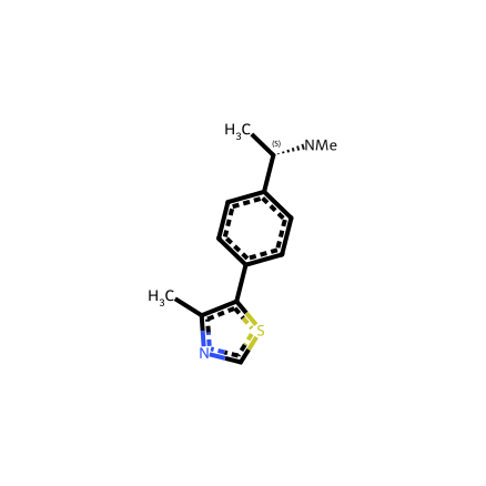 CN[C@@H](C)c1ccc(-c2scnc2C)cc1